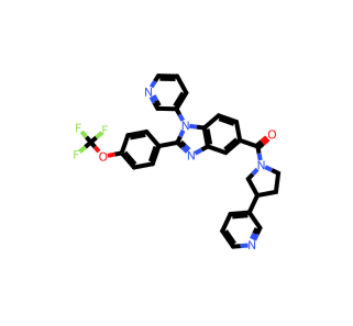 O=C(c1ccc2c(c1)nc(-c1ccc(OC(F)(F)F)cc1)n2-c1cccnc1)N1CCC(c2cccnc2)C1